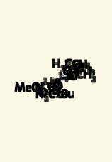 COC(=O)CCC[C@@H](/C=C/B1OC(C)(C)C(C)(C)O1)O[Si](C)(C)C(C)(C)C